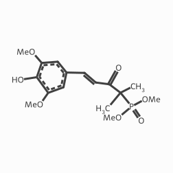 COc1cc(/C=C/C(=O)C(C)(C)P(=O)(OC)OC)cc(OC)c1O